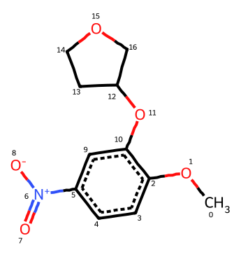 COc1ccc([N+](=O)[O-])cc1OC1CCOC1